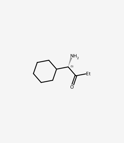 CCC(=O)[C@@H](N)C1CCCCC1